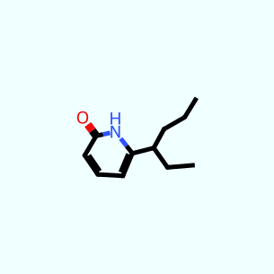 CCCC(CC)c1cccc(=O)[nH]1